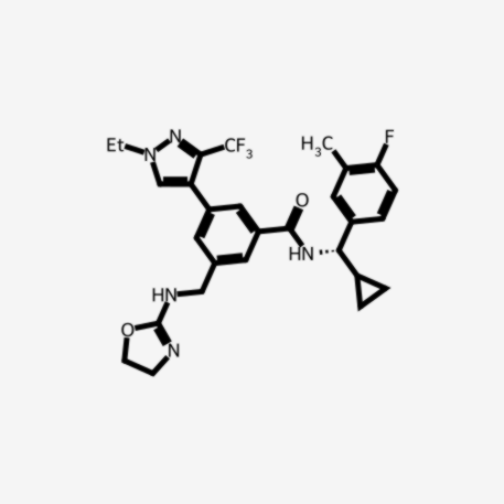 CCn1cc(-c2cc(CNC3=NCCO3)cc(C(=O)N[C@H](c3ccc(F)c(C)c3)C3CC3)c2)c(C(F)(F)F)n1